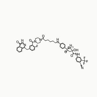 CC(O)(CS(=O)(=O)c1ccc(NCCCCCC(=O)N2CCN(C(=O)c3cc(Cc4n[nH]c(=O)c5ccccc45)ccc3F)CC2)cc1)C(=O)Nc1ccc(C#N)c(C(F)(F)F)c1